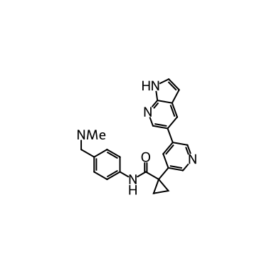 CNCc1ccc(NC(=O)C2(c3cncc(-c4cnc5[nH]ccc5c4)c3)CC2)cc1